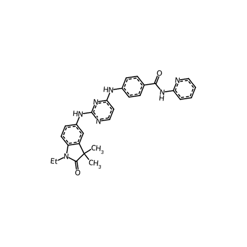 CCN1C(=O)C(C)(C)c2cc(Nc3nccc(Nc4ccc(C(=O)Nc5ccccn5)cc4)n3)ccc21